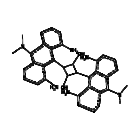 CN(C)c1c2cccc(N)c2c(C2C(O)C(c3c4c(N)cccc4c(N(C)C)c4cccc(N)c34)C2O)c2c(N)cccc12